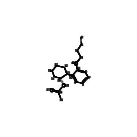 CCCCOc1ccccc1[C@@H]1CCCC[C@H]1OC(C)=O